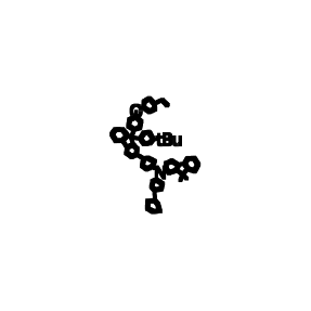 C=Cc1ccc(Oc2ccc(C3(c4ccc(C(C)(C)C)cc4)c4ccccc4-c4ccc(-c5ccc(N(c6ccc(-c7ccccc7)cc6)c6ccc7c(c6)C(C)(C)c6ccccc6-7)cc5)cc43)cc2)cc1